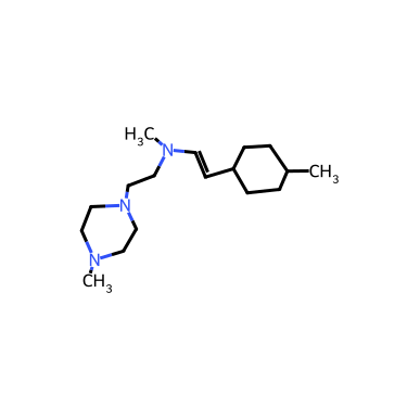 CC1CCC(/C=C/N(C)CCN2CCN(C)CC2)CC1